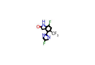 O=C1Cc2c(c(F)cc(C(F)(F)F)c2-c2ncc(F)cn2)N1